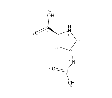 CC(=O)N[C@H]1CN[C@H](C(=O)O)C1